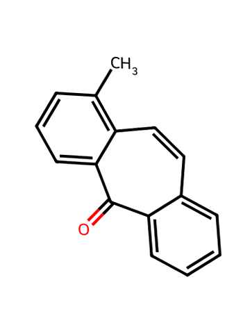 Cc1cccc2c(=O)c3ccccc3ccc12